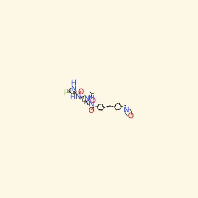 CC(C)C(=O)N1C[C@H](NC(=O)[C@@H]2C[C@H](F)CN2)C[C@@H]1CNC(=O)c1ccc(C#Cc2ccc(CN3CCOCC3)cc2)cc1